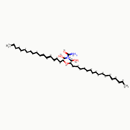 CCCCCCCCCCCCCCCCCCOCCCCCCCCCCCCCCCCCC.NC(=O)N(CO)CO